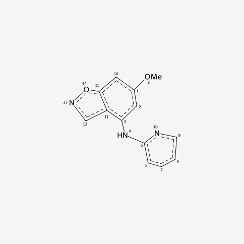 COc1cc(Nc2ccccn2)c2cnoc2c1